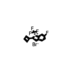 Fc1ccc2cc(C3=CC=C3)[s+](C(F)(F)F)c2c1.[Br-]